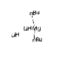 CCC[CH2][Mg][CH2]CCC.[LiH].[LiH]